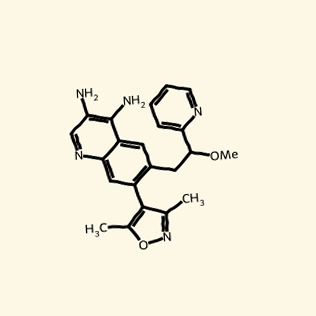 COC(Cc1cc2c(N)c(N)cnc2cc1-c1c(C)noc1C)c1ccccn1